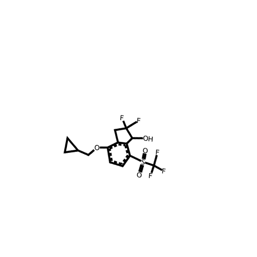 O=S(=O)(c1ccc(OCC2CC2)c2c1C(O)C(F)(F)C2)C(F)(F)F